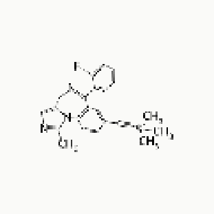 Cc1ncc2n1-c1ccc(C#C[Si](C)(C)C)cc1C(c1ccccc1F)=NC2